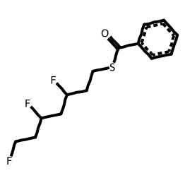 O=C(SCCC(F)CC(F)CCF)c1ccccc1